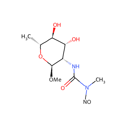 CO[C@H]1O[C@H](C)[C@@H](O)[C@H](O)[C@@H]1NC(=O)N(C)N=O